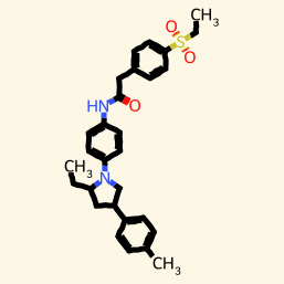 CCC1CC(c2ccc(C)cc2)CN1c1ccc(NC(=O)Cc2ccc(S(=O)(=O)CC)cc2)cc1